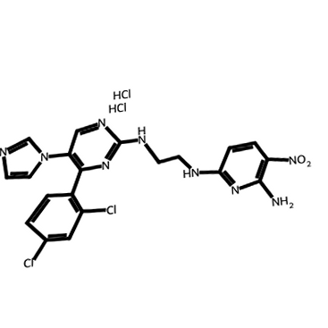 Cl.Cl.Nc1nc(NCCNc2ncc(-n3ccnc3)c(-c3ccc(Cl)cc3Cl)n2)ccc1[N+](=O)[O-]